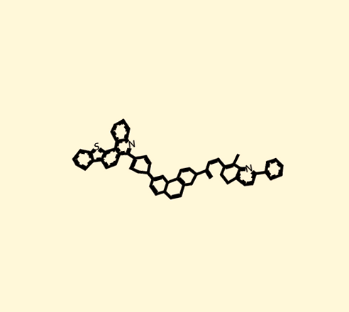 C=C(/C=C\C1=C(C)c2nc(-c3ccccc3)ccc2CC1)C1C=CC2=C(C=CC3C=CC(C4C=CC(c5nc6ccccc6c6c5ccc5c7ccccc7sc56)=CC4)=CC23)C1